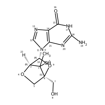 CC1(O)[C@H]2OC[C@]1(CO)O[C@H]2n1cnc2c(=O)[nH]c(N)nc21